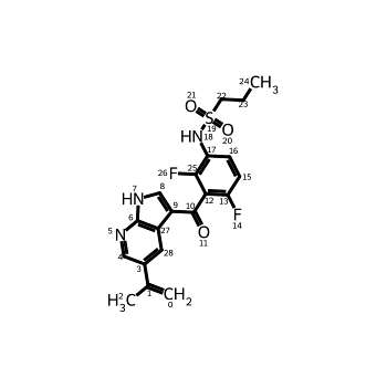 C=C(C)c1cnc2[nH]cc(C(=O)c3c(F)ccc(NS(=O)(=O)CCC)c3F)c2c1